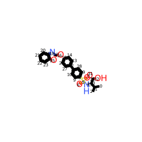 CC(C)[C@H](NS(=O)(=O)c1ccc(-c2ccc(Oc3nc4ccccc4o3)cc2)cc1)C(=O)O